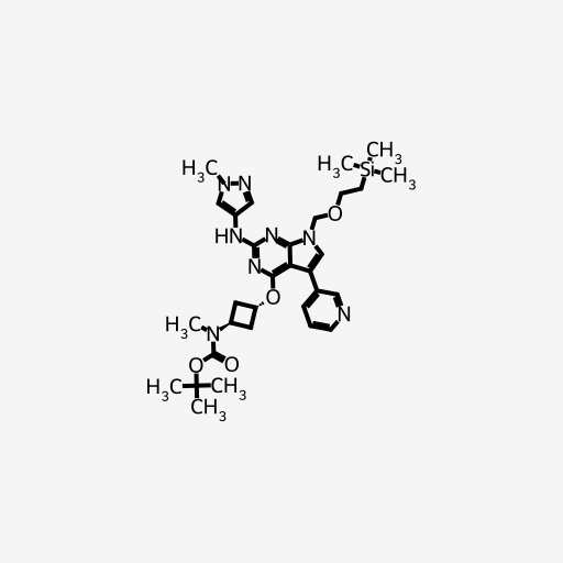 Cn1cc(Nc2nc(O[C@H]3C[C@H](N(C)C(=O)OC(C)(C)C)C3)c3c(-c4cccnc4)cn(COCC[Si](C)(C)C)c3n2)cn1